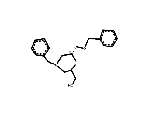 OCC1CN(Cc2ccccc2)C[C@H](COCc2ccccc2)O1